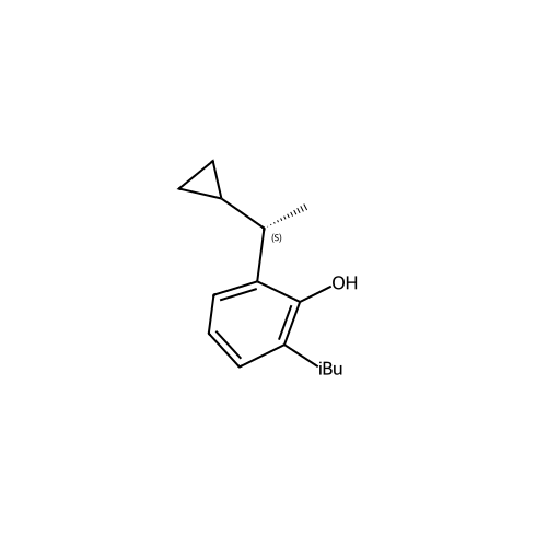 CCC(C)c1cccc([C@@H](C)C2CC2)c1O